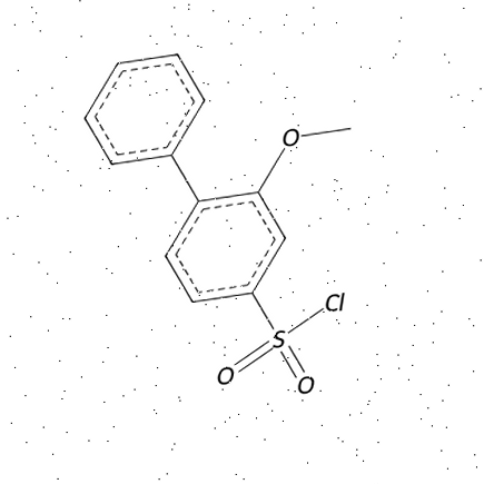 COc1cc(S(=O)(=O)Cl)ccc1-c1ccccc1